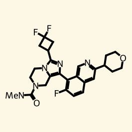 CNC(=O)N1CCn2c(C3CC(F)(F)C3)nc(-c3c(F)ccc4cc(C5CCOCC5)ncc34)c2C1